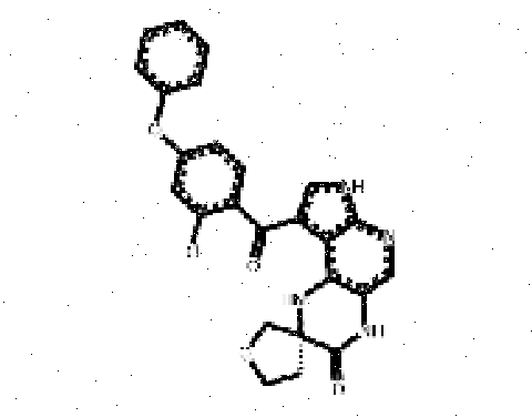 O=C(c1ccc(Oc2ccccc2)cc1Cl)c1c[nH]c2ncc3c(c12)N[C@@]1(CCOC1)C(=O)N3